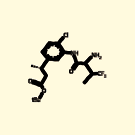 CC(C(N)C(=O)Nc1cc([C@@H](C)CC(=O)OC(C)(C)C)ccc1Cl)C(F)(F)F